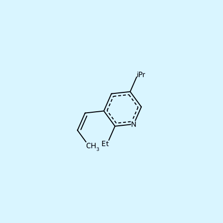 C/C=C\c1cc(C(C)C)cnc1CC